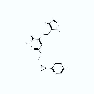 CC1=CN=C([C@H]2C[C@@H]2COc2cc(NCc3c(C)cnn3C)c(=O)n(C)n2)CC1